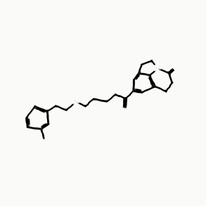 O=C(CCCCNCCc1cccc(Cl)c1)c1cc2c3c(c1)CCN3C(=O)CC2